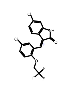 O=C1Nc2cc(Cl)ccc2/C1=C\c1cc(Cl)ccc1OCC(F)(F)F